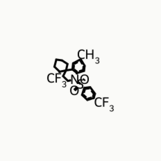 Cc1ccc2c(c1)C1(CCCCC1C(F)(F)F)CCN2S(=O)(=O)c1ccc(C(F)(F)F)cc1